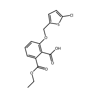 CCOC(=O)c1cccc(OCc2ccc(Cl)s2)c1C(=O)O